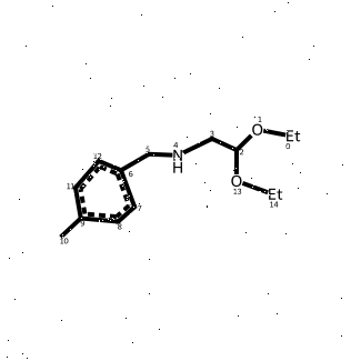 CCOC(CNCc1ccc(C)cc1)OCC